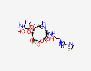 CCO[C@@H](O[C@@H]1CC(=O)[C@@](C)(F)C(=O)O[C@H](CC)[C@@](C)(O)[C@H](NCCCCn2cc(-c3nccs3)nn2)[C@@H](C)NC[C@H](C)C[C@@]1(C)OC)C(O)C(CC)N(C)C